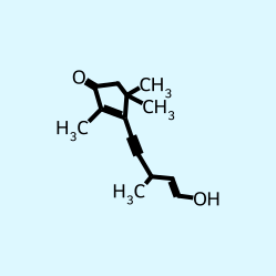 CC1=C(C#CC(C)C=CO)C(C)(C)CC1=O